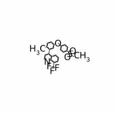 CCS(=O)(=O)c1ccc(Oc2ccc(C)c(-c3ccnc4c(C(F)(F)F)cccc34)c2)cc1